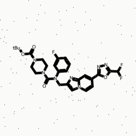 CC(C)(C)OC(=O)N1CCN(C(=O)N(Cc2cn3ccc(-c4nnc(C(F)F)o4)cc3n2)c2cccc(F)c2)CC1